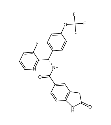 O=C1Cc2cc(C(=O)N[C@@H](c3ccc(OC(F)(F)F)cc3)c3ncccc3F)ccc2N1